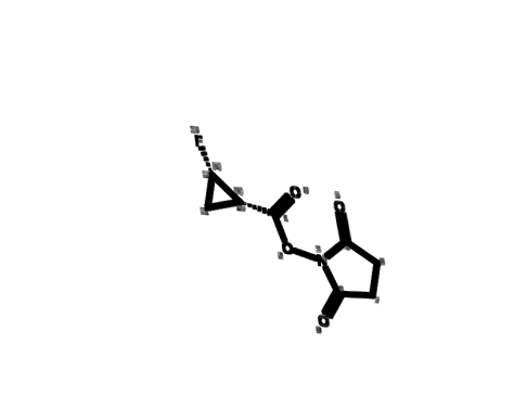 O=C(ON1C(=O)CCC1=O)[C@@H]1C[C@@H]1F